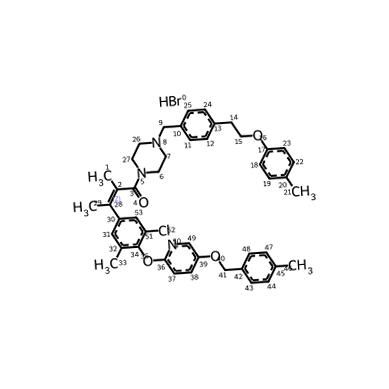 Br.C/C(C(=O)N1CCN(Cc2ccc(CCOc3ccc(C)cc3)cc2)CC1)=C(\C)c1cc(C)c(Oc2ccc(OCc3ccc(C)cc3)cn2)c(Cl)c1